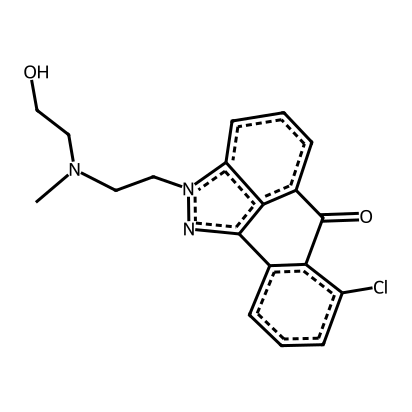 CN(CCO)CCn1nc2c3c(cccc31)C(=O)c1c(Cl)cccc1-2